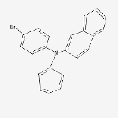 Brc1ccc(N(c2ccccc2)c2ccc3ccccc3c2)cc1